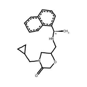 C[C@@H](NCC1CN(CC2CC2)C(=O)CO1)c1cccc2ccccc12